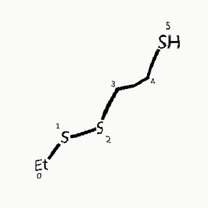 CCSSCCS